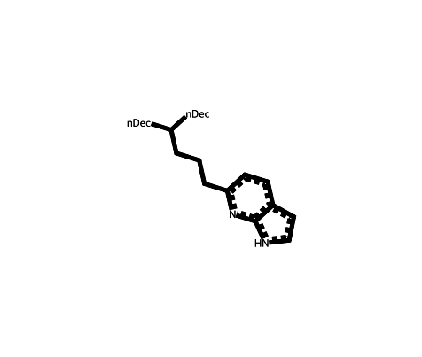 CCCCCCCCCCC(CCCCCCCCCC)CCCc1ccc2cc[nH]c2n1